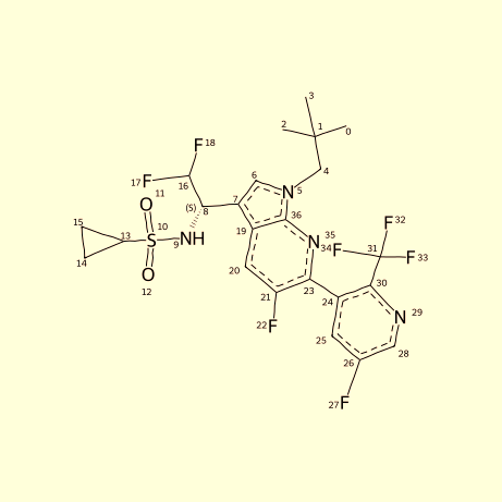 CC(C)(C)Cn1cc([C@H](NS(=O)(=O)C2CC2)C(F)F)c2cc(F)c(-c3cc(F)cnc3C(F)(F)F)nc21